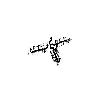 C=C[CH2][Sn]([CH2]CC(F)(F)C(F)(F)C(F)(F)C(F)(F)C(F)(F)C(F)(F)F)([CH2]CC(F)(F)C(F)(F)C(F)(F)C(F)(F)C(F)(F)C(F)(F)F)[CH2]CC(F)(F)C(F)(F)C(F)(F)C(F)(F)C(F)(F)C(F)(F)F